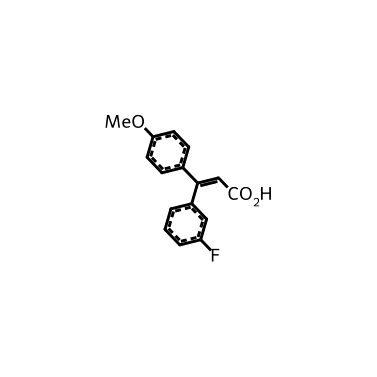 COc1ccc(/C(=C/C(=O)O)c2cccc(F)c2)cc1